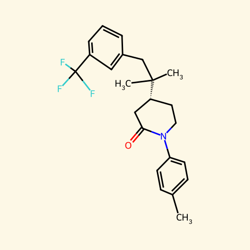 Cc1ccc(N2CC[C@@H](C(C)(C)Cc3cccc(C(F)(F)F)c3)CC2=O)cc1